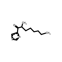 CCCCCCC(C)C(=O)c1cscn1